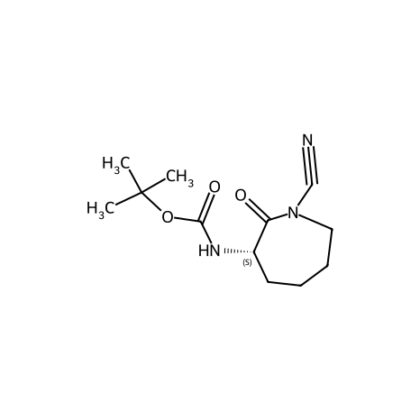 CC(C)(C)OC(=O)N[C@H]1CCCCN(C#N)C1=O